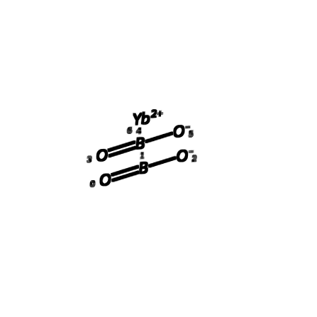 O=B[O-].O=B[O-].[Yb+2]